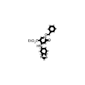 CCOC(=O)c1cn(OCc2ccccc2)c(=O)cc1Nc1ccc2scnc2c1